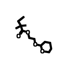 CCC(C)(C)C(=O)OCCOC1CCCCO1